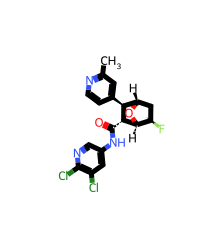 Cc1cc([C@@H]2[C@@H](C(=O)Nc3cnc(Cl)c(Cl)c3)[C@H]3O[C@H]2C[C@H]3F)ccn1